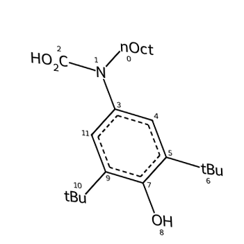 CCCCCCCCN(C(=O)O)c1cc(C(C)(C)C)c(O)c(C(C)(C)C)c1